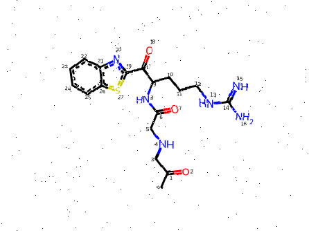 CC(=O)CNCC(=O)NC(CCCNC(=N)N)C(=O)c1nc2ccccc2s1